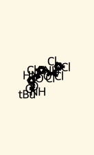 CC(C)(C)NC(=O)Oc1cccc(NC(=O)c2cc(NC(=O)C3C(c4cc(Cl)cc(Cl)c4)C3(Cl)Cl)ccc2Cl)c1